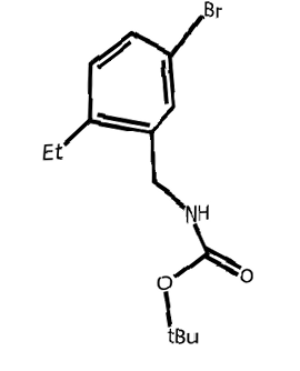 CCc1ccc(Br)cc1CNC(=O)OC(C)(C)C